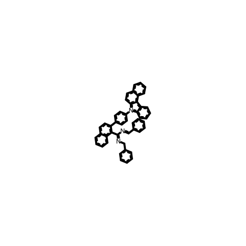 C(=N\C(=N/Cc1ccccc1)c1c(-c2ccc(-n3c4ccccc4c4c5ccccc5ccc43)cc2)ccc2ccccc12)/c1ccccc1